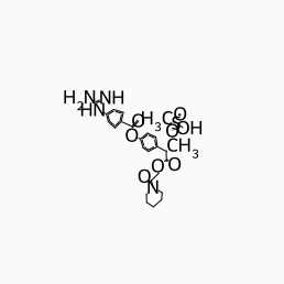 CC(C(=O)OCC(=O)N1CCCCC1)c1ccc(OC(=O)c2ccc(NC(=N)N)cc2)cc1.CS(=O)(=O)O